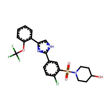 O=S(=O)(c1cc(-c2nc(-c3ccccc3OC(F)(F)F)c[nH]2)ccc1Cl)N1CCC(O)CC1